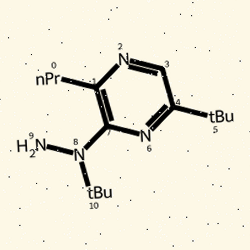 CCCc1ncc(C(C)(C)C)nc1N(N)C(C)(C)C